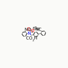 CC(C)(C)OC(=O)N(Cc1ccc(-c2ccccc2C#N)cc1)c1c(C(=O)O)cccc1[N+](=O)[O-]